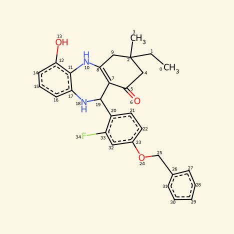 CCC1(C)CC(=O)C2=C(C1)Nc1c(O)cccc1NC2c1ccc(OCc2ccccc2)cc1F